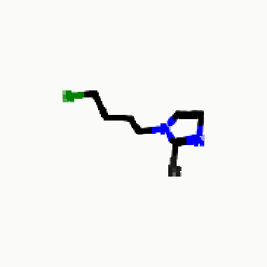 CCc1nccn1CCCCBr